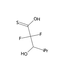 CC(C)C(O)C(F)(F)C(O)=S